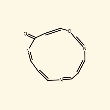 O=c1ccocncccncccn1